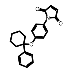 O=C1C=CC(=O)N1c1ccc(OC2(c3ccccc3)CCCCC2)cc1